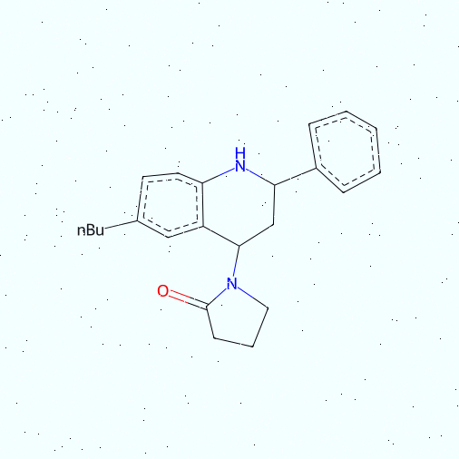 CCCCc1ccc2c(c1)C(N1CCCC1=O)CC(c1ccccc1)N2